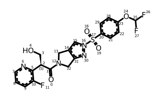 O=C([C@H](CO)c1ncccc1F)N1Cc2cn(S(=O)(=O)c3ccc(OC(F)F)cc3)nc2C1